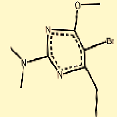 CCc1nc(N(C)C)nc(OC)c1Br